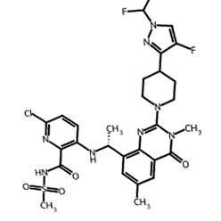 Cc1cc([C@@H](C)Nc2ccc(Cl)nc2C(=O)NS(C)(=O)=O)c2nc(N3CCC(c4nn(C(F)F)cc4F)CC3)n(C)c(=O)c2c1